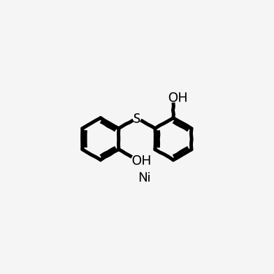 Oc1ccccc1Sc1ccccc1O.[Ni]